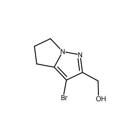 OCc1nn2c(c1Br)CCC2